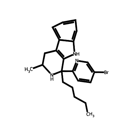 CCCCCC1(c2ccc(Br)cn2)NC(C)Cc2c1[nH]c1ccccc21